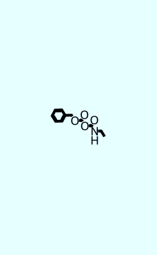 CCNC(=O)OC(=O)OCc1ccccc1